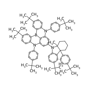 CC(C)(C)c1ccc(N2c3ccc(C(C)(C)C)cc3B3c4cc(C(C)(C)C)ccc4N(c4ccc(C(C)(C)C)cc4)c4cc(N5c6ccc(C(C)(C)C)cc6C6(c7ccc(C(C)(C)C)cc7)CCCCC56C)cc2c43)cc1